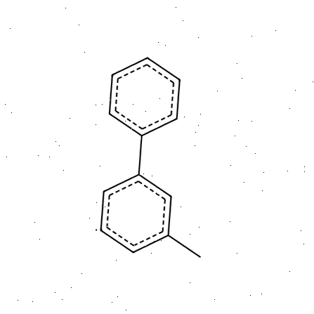 Cc1c[c]cc(-c2ccccc2)c1